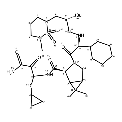 CN1CCCN(C[C@@H](NN[C@H](C(=O)N2CC3C([C@H]2C(=O)NC(CC2CC2)C(=O)C(N)=O)C3(C)C)C2CCCCC2)C(C)(C)C)S1(=O)=O